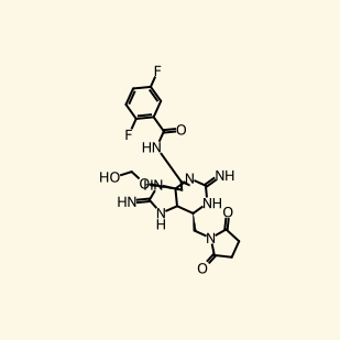 N=C1NC2[C@H](CN3C(=O)CCC3=O)NC(=N)N3CC(NC(=O)c4cc(F)ccc4F)[C@@H](OCO)C23N1